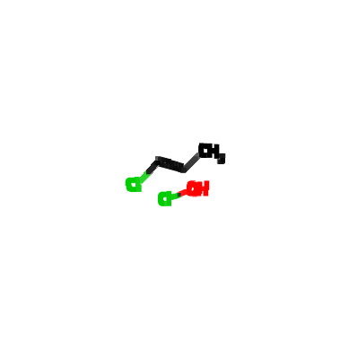 CC=CCl.OCl